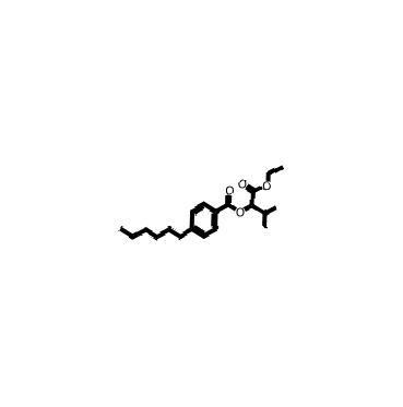 CCCCCCc1ccc(C(=O)OC(C(=O)OCC)C(C)C)cc1